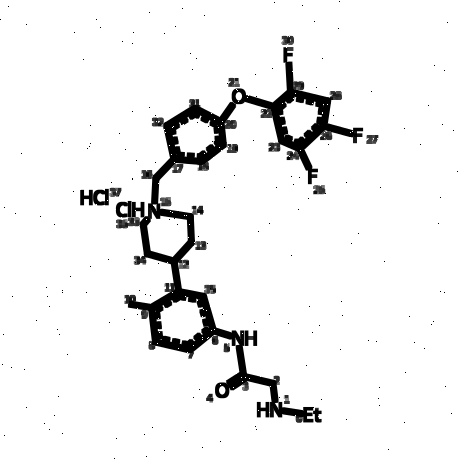 CCNCC(=O)Nc1ccc(C)c(C2CCN(Cc3ccc(Oc4cc(F)c(F)cc4F)cc3)CC2)c1.Cl.Cl